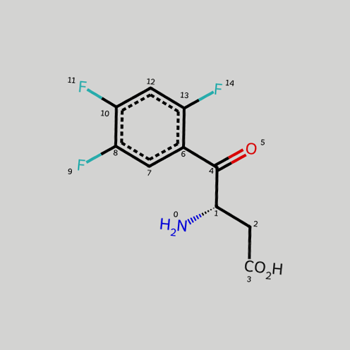 N[C@@H](CC(=O)O)C(=O)c1cc(F)c(F)cc1F